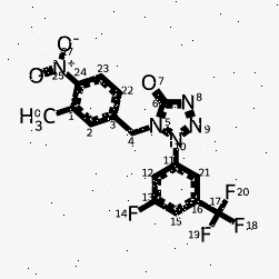 Cc1cc(Cn2c(=O)nnn2-c2cc(F)cc(C(F)(F)F)c2)ccc1[N+](=O)[O-]